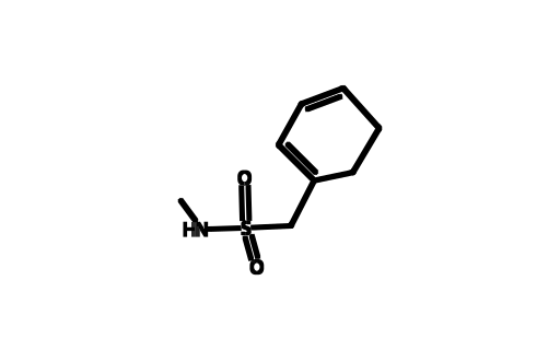 CNS(=O)(=O)CC1=CC=CCC1